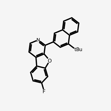 CC(C)(C)c1cc(-c2nccc3c2oc2cc(F)ccc23)cc2ccccc12